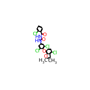 CC1(C)Cc2c(Cl)ccc(Oc3c(Cl)cc(NC(=O)NC(=O)c4ccccc4Cl)cc3Cl)c2O1